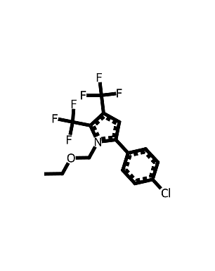 CCOCn1c(-c2ccc(Cl)cc2)cc(C(F)(F)F)c1C(F)(F)F